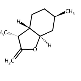 C=C1O[C@@H]2C[C@H](C)CC[C@H]2[C@H]1C